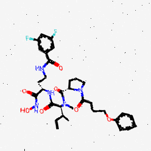 CCC(C)[C@@H](C(=O)N[C@@H](CCNC(=O)c1cc(F)cc(F)c1)C(=O)NO)N(C)C(=O)[C@@H]1CCCN1C(=O)CCCOc1ccccc1